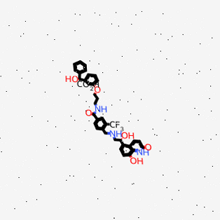 O=C(NCCCOc1cccc([C@](O)(C(=O)O)c2ccccc2)c1)c1ccc(CNC[C@H](O)c2ccc(O)c3[nH]c(=O)ccc23)c(C(F)(F)F)c1